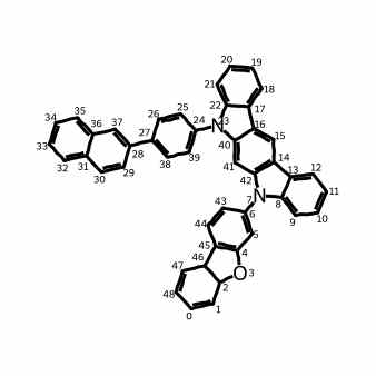 C1=CC2Oc3cc(-n4c5ccccc5c5cc6c7ccccc7n(-c7ccc(-c8ccc9ccccc9c8)cc7)c6cc54)ccc3C2C=C1